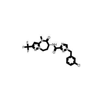 CN1C(=O)[C@H](NC(=O)c2ncn(Cc3cccc(Cl)c3)n2)CCn2nc(C(F)(F)F)cc21